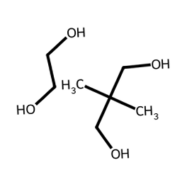 CC(C)(CO)CO.OCCO